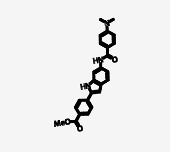 COC(=O)c1ccc(-c2cc3ccc(NC(=O)c4ccc(N(C)C)cc4)cc3[nH]2)cc1